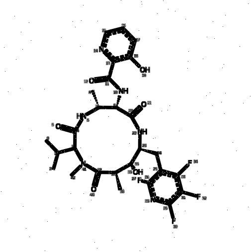 CC(C)C1C(=O)N[C@H](C)[C@H](NC(=O)c2ncccc2O)C(=O)N[C@@H](Cc2c(F)nc(F)c(F)c2F)[C@@H](O)[C@@H](C)C(=O)N1C